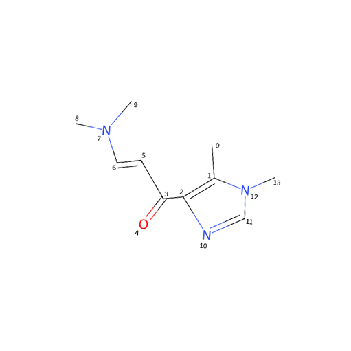 Cc1c(C(=O)C=CN(C)C)ncn1C